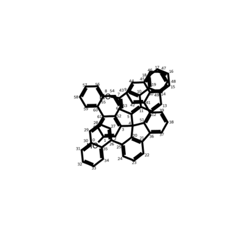 Oc1cc(C2(c3cc(O)cc4c3ccc3ccccc34)c3c(cccc3-c3cccc4ccccc34)-c3cccc(-c4cccc5ccccc45)c32)c2ccc3ccccc3c2c1